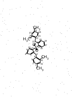 Cc1ccc(Cc2ccccc2S(=O)(=O)c2ccccc2Cc2ccc(C)cc2C)c(C)c1